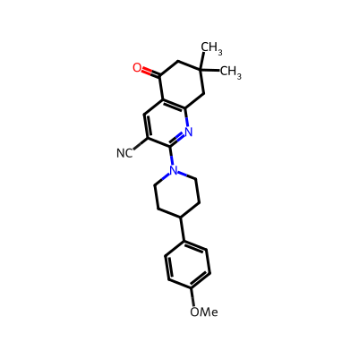 COc1ccc(C2CCN(c3nc4c(cc3C#N)C(=O)CC(C)(C)C4)CC2)cc1